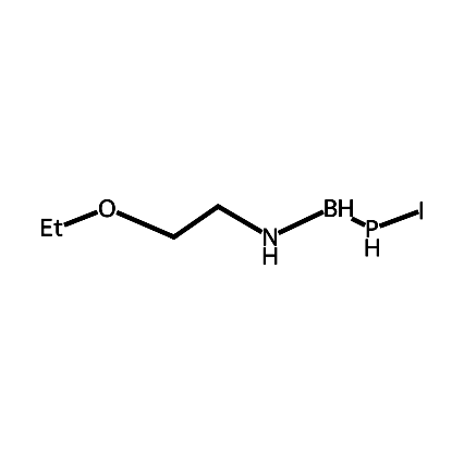 CCOCCNBPI